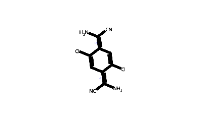 N#C/C(N)=c1\cc(Cl)/c(=C(\N)C#N)cc1Cl